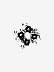 Cc1ccc2c(c1)N(C)c1cc(C)ccc1[PH](C)([Si](C)(C)C)c1cc(C)ccc1N(C)c1ccc(C)cc1P2[Si](C)(C)C